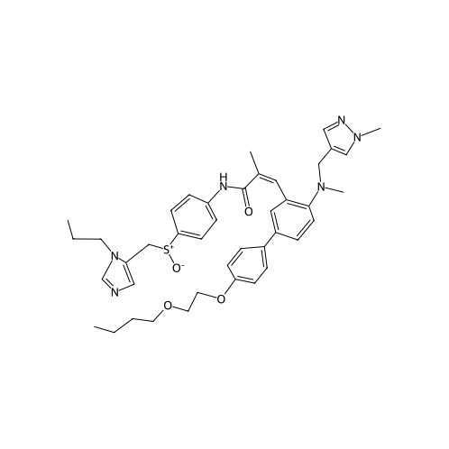 CCCCOCCOc1ccc(-c2ccc(N(C)Cc3cnn(C)c3)c(C=C(C)C(=O)Nc3ccc([S+]([O-])Cc4cncn4CCC)cc3)c2)cc1